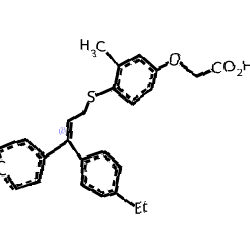 CCc1ccc(/C(=C\CSc2ccc(OCC(=O)O)cc2C)c2ccccc2)cc1